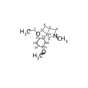 CCOC1CC2CN(C)CC21c1cccc(OC)c1